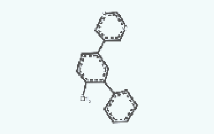 Cc1ccc(-c2cncnc2)cc1-c1ccccc1